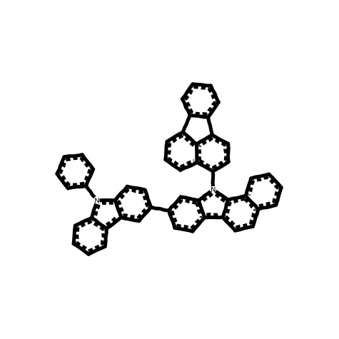 c1ccc(-n2c3ccccc3c3cc(-c4ccc5c6ccc7ccccc7c6n(-c6ccc7c8c(cccc68)-c6ccccc6-7)c5c4)ccc32)cc1